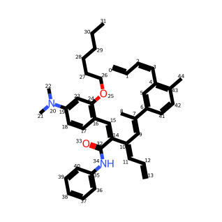 C=C/C=C\c1cc(/C(C)=C/C(=C\C=C)C(=C/c2ccc(N(C)C)cc2OCCCCCC)/C(=O)Nc2ccccc2)ccc1C